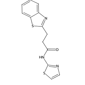 O=C(CCc1nc2ccccc2s1)Nc1nccs1